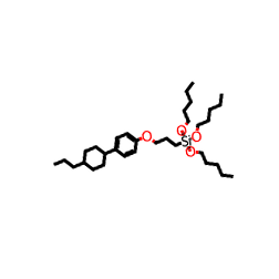 CCCCCO[Si](CCCOc1ccc(C2CCC(CCC)CC2)cc1)(OCCCCC)OCCCCC